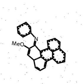 COC1=CC2C=CC=c3c2c(c2cccc4cccc3c42)C1=Nc1ccccc1